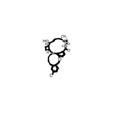 C[C@H]1C/C=C/C(O)[C@@H]2CC[C@H]2CN2CCCCc3cc(Cl)ccc3COc3ccc(cc32)C(=O)NS(=O)(=O)N1